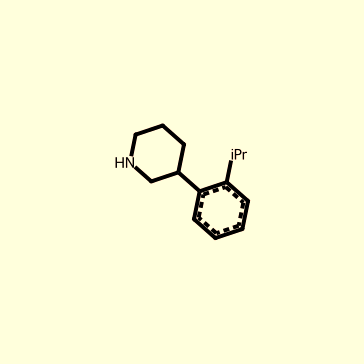 CC(C)c1ccccc1C1CCCNC1